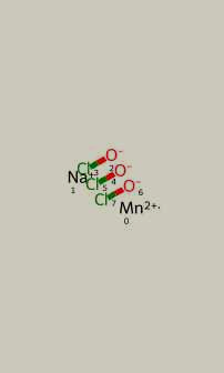 [Mn+2].[Na+].[O-]Cl.[O-]Cl.[O-]Cl